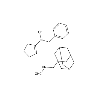 O=CNCC12CC3CC(CC(C3)C1)C2.[O-][S+](Cc1ccccc1)C1=CCCC1